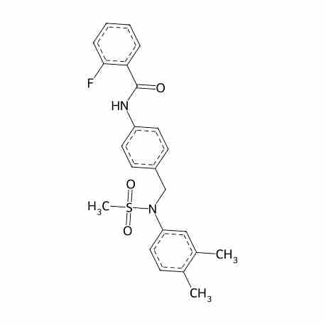 Cc1ccc(N(Cc2ccc(NC(=O)c3ccccc3F)cc2)S(C)(=O)=O)cc1C